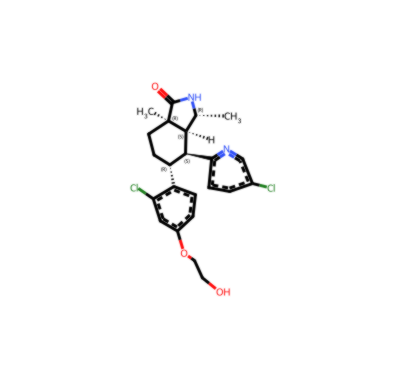 C[C@H]1NC(=O)[C@]2(C)CC[C@@H](c3ccc(OCCO)cc3Cl)[C@H](c3ccc(Cl)cn3)[C@H]12